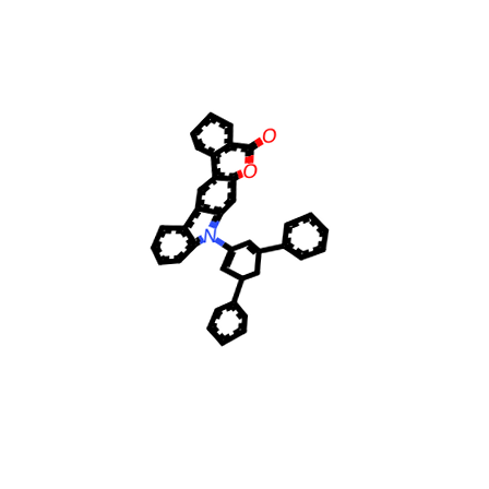 O=c1oc2cc3c(cc2c2ccccc12)c1ccccc1n3C1=CC(c2ccccc2)CC(c2ccccc2)=C1